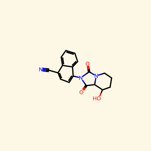 N#Cc1ccc(N2C(=O)C3C(O)CCCN3C2=O)c2ccccc12